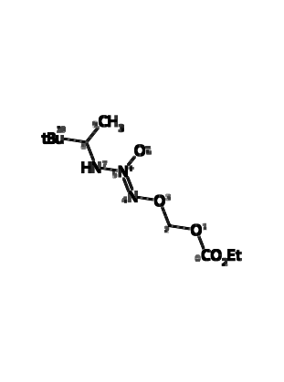 CCOC(=O)OCO/N=[N+](\[O-])NC(C)C(C)(C)C